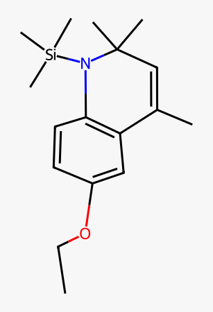 CCOc1ccc2c(c1)C(C)=CC(C)(C)N2[Si](C)(C)C